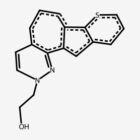 OCCN1C=Cc2cccc3c(cc4cccsc43)c2=N1